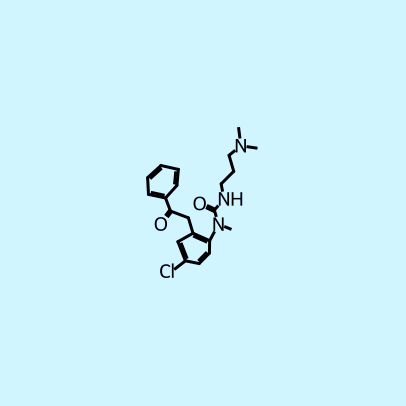 CN(C)CCCNC(=O)N(C)c1ccc(Cl)cc1CC(=O)c1ccccc1